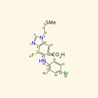 CSCCn1cnc2c(F)c(Nc3ccc(Br)cc3C)c(C(=O)O)cc21